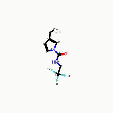 CCc1ccn(C(=O)NCC(F)(F)F)c1